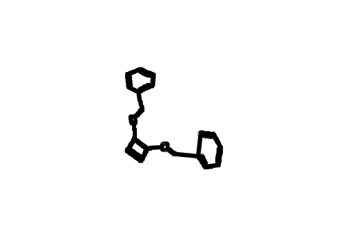 C1=CC(OCc2ccccc2)C1OCc1ccccc1